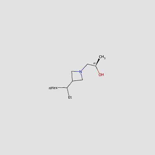 CCCCCCC(CC)C1CN(C[C@@H](C)O)C1